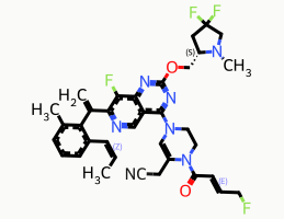 C=C(c1ncc2c(N3C=C(CC#N)N(C(=O)/C=C/CF)CC3)nc(OC[C@@H]3CC(F)(F)CN3C)nc2c1F)c1c(C)cccc1/C=C\C